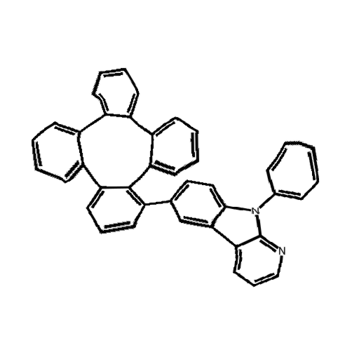 c1ccc(-n2c3ccc(-c4cccc5c4-c4ccccc4-c4ccccc4-c4ccccc4-5)cc3c3cccnc32)cc1